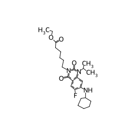 CCOC(=O)CCCCCn1c(=O)c2cc(F)c(NC3CCCCC3)cc2n(C(C)C)c1=O